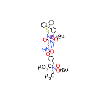 C=CCN(C(=O)OC(C)(C)C)[C@@H](Cc1ccc(OC(=O)NCC[C@H](NC(=O)OC(C)(C)C)C(=O)NCCSC(c2ccccc2)(c2ccccc2)c2ccccc2)cc1)C(=O)O